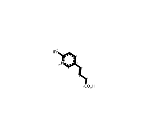 CC(C)c1ccc(/C=C/CC(=O)O)cn1